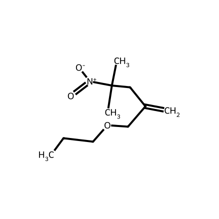 C=C(COCCC)CC(C)(C)[N+](=O)[O-]